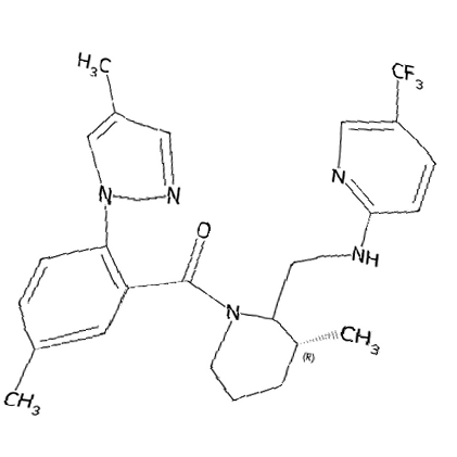 Cc1ccc(-n2cc(C)cn2)c(C(=O)N2CCC[C@@H](C)C2CNc2ccc(C(F)(F)F)cn2)c1